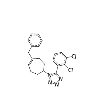 Clc1cccc(-c2nnnn2C2CCC=C(Cc3ccccc3)CC2)c1Cl